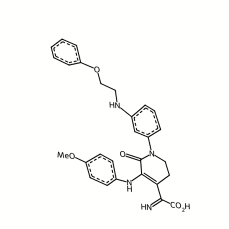 COc1ccc(NC2=C(C(=N)C(=O)O)CCN(c3cccc(NCCOc4ccccc4)c3)C2=O)cc1